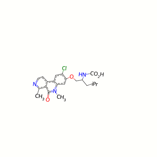 Cc1nccc2c1c(=O)n(C)c1cc(OCC(CC(C)C)NC(=O)O)c(Cl)cc21